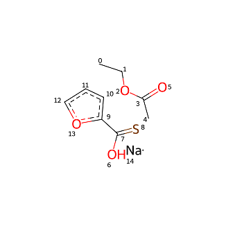 CCOC(C)=O.OC(=S)c1ccco1.[Na]